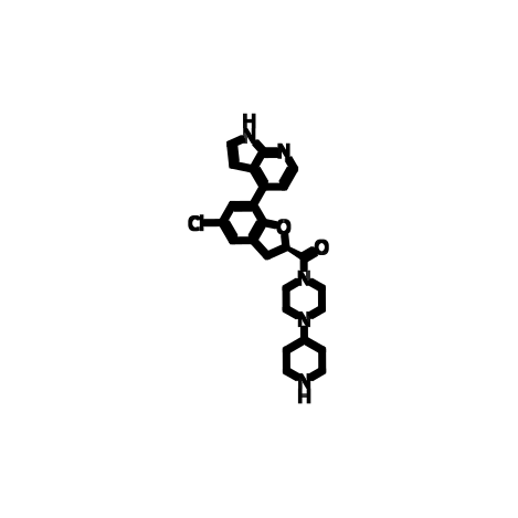 O=C([C@H]1Cc2cc(Cl)cc(-c3ccnc4[nH]ccc34)c2O1)N1CCN(C2CCNCC2)CC1